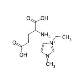 CC[n+]1ccn(C)c1.NC(CCC(=O)O)C(=O)O